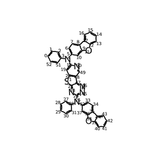 c1ccc(N(c2ccc3c(c2)oc2ccccc23)c2cc3sc4nc(N(c5ccccc5)c5ccc6c(c5)oc5ccccc56)nnc4c3cn2)cc1